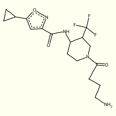 NCCCC(=O)N1CCC(NC(=O)c2cc(C3CC3)on2)C(C(F)(F)F)C1